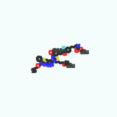 COC(=O)c1nc(N(CCCCO[Si](C)(C)C(C)(C)C)c2cc(C)c(/N=c3\sc4ccccc4n3COCC[Si](C)(C)C)nn2)sc1CCCOc1ccc(CCCN(C)C(=O)OC(C)(C)C)cc1F